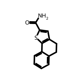 NC(=O)c1cc2c(s1)-c1ccccc1CC2